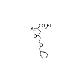 CCOC(=O)C(CC(=O)CCOCc1ccccc1)C(C)=O